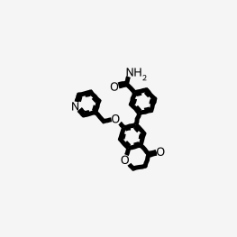 NC(=O)c1cccc(-c2cc3c(cc2OCc2cccnc2)OCCC3=O)c1